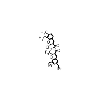 Cc1ccc2c(c1C)OC(C(F)(F)F)C(C(=O)OC(=O)C1=Cc3cc(CC(C)C)cc(CC(C)C)c3OC1C(F)(F)F)=C2